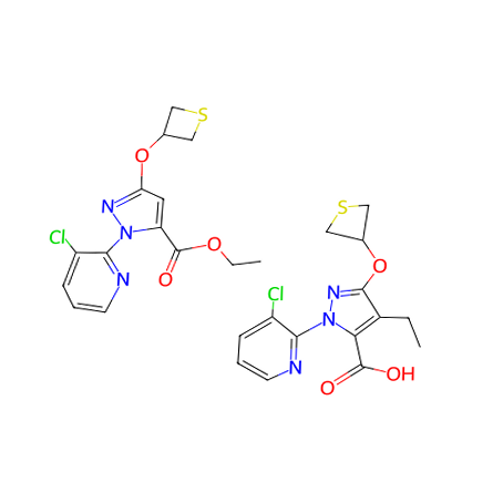 CCOC(=O)c1cc(OC2CSC2)nn1-c1ncccc1Cl.CCc1c(OC2CSC2)nn(-c2ncccc2Cl)c1C(=O)O